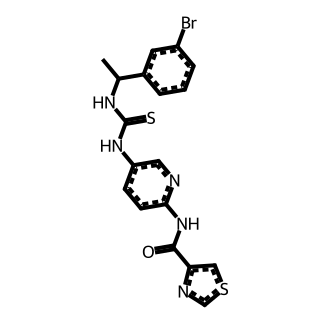 CC(NC(=S)Nc1ccc(NC(=O)c2cscn2)nc1)c1cccc(Br)c1